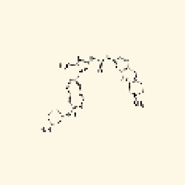 CN1CCN(Cc2ccc(NC(=O)Nc3cc(-c4ccc5nc(N[C@@H]6CCC[C@@H](N)C6)ncc5c4)n(C)n3)cc2C(F)(F)F)CC1